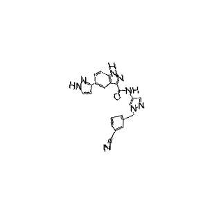 N#Cc1cccc(Cn2cc(NC(=O)c3n[nH]c4ccc(-c5cc[nH]n5)cc34)cn2)c1